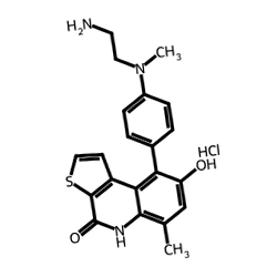 Cc1cc(O)c(-c2ccc(N(C)CCN)cc2)c2c1[nH]c(=O)c1sccc12.Cl